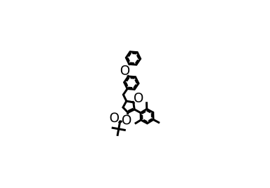 Cc1cc(C)c(C2=C(OC(=O)C(C)(C)C)CC(Cc3cccc(Oc4ccccc4)c3)C2=O)c(C)c1